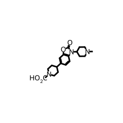 CN1CCC(n2c(=O)oc3cc(C4CCN(C(=O)O)CC4)ccc32)CC1